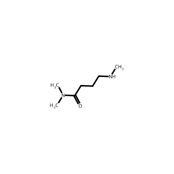 CNCCCC(=O)N(C)C